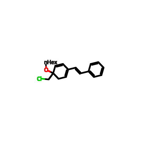 CCCCCCOC1(CCl)C=CC(C=Cc2ccccc2)=CC1